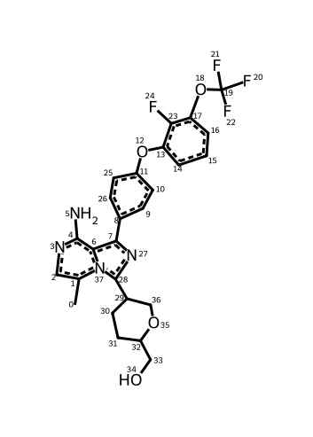 Cc1cnc(N)c2c(-c3ccc(Oc4cccc(OC(F)(F)F)c4F)cc3)nc(C3CCC(CO)OC3)n12